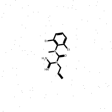 C=CCN(C(=N)N)C(=O)N(C)c1c(CC)cccc1CC